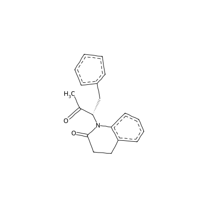 CC(=O)[C@H](Cc1ccccc1)N1C(=O)CCc2ccccc21